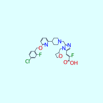 O=C(O)/C(F)=C/c1cnc(CN2CCC(c3cccc(OCc4ccc(Cl)cc4F)n3)CC2)n1CC1CCO1